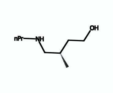 CCCNC[C@@H](C)CCO